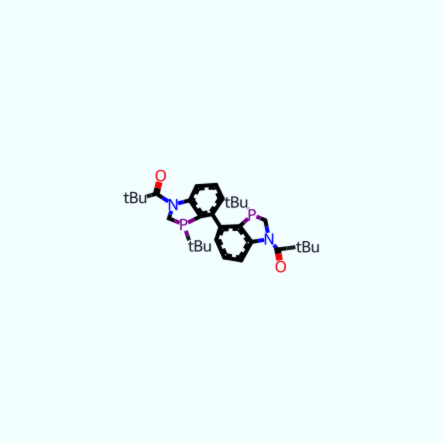 CC(C)(C)C(=O)N1CP(C(C)(C)C)c2c(-c3cccc4c3P(C(C)(C)C)CN4C(=O)C(C)(C)C)cccc21